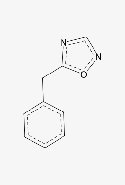 c1ccc(Cc2ncno2)cc1